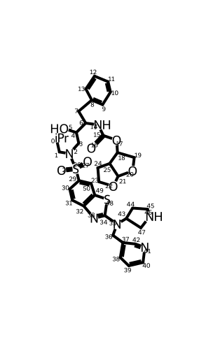 CC(C)CN(CC(O)C(Cc1ccccc1)NC(=O)OC1COC2OCCC12)S(=O)(=O)c1ccc2nc(N(Cc3cccnc3)C3CCNC3)sc2c1